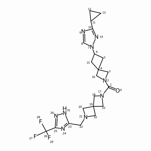 O=C(N1CC2(CC(n3cnc(C4CC4)n3)C2)C1)N1CC2(CN(Cc3nc(C(F)(F)F)n[nH]3)C2)C1